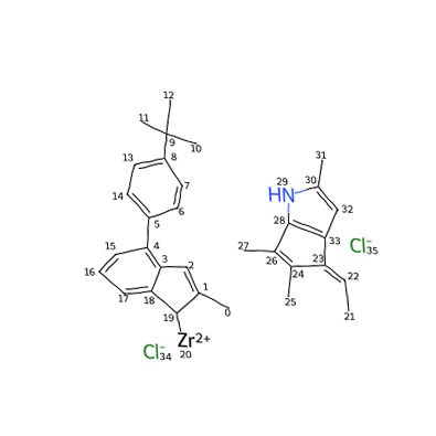 CC1=Cc2c(-c3ccc(C(C)(C)C)cc3)cccc2[CH]1[Zr+2].CC=C1C(C)=C(C)c2[nH]c(C)cc21.[Cl-].[Cl-]